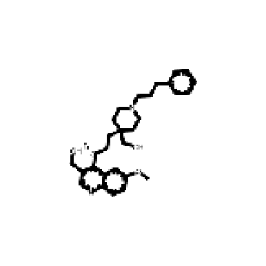 COc1ccc2ncc(CO)c([C@H](F)CCC3(CO)CCN(CCCc4ccccc4)CC3)c2c1